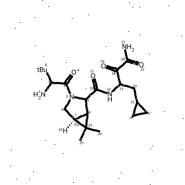 CC(C)(C)C(N)C(=O)N1C[C@H]2C(C1C(=O)NC(CC1CC1)C(=O)C(N)=O)C2(C)C